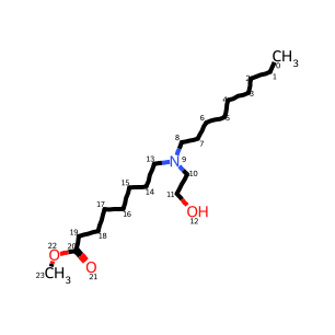 CCCCCCCCCN(CCO)CCCCCCCC(=O)OC